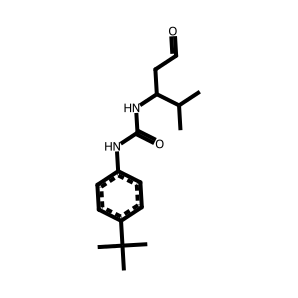 CC(C)C(CC=O)NC(=O)Nc1ccc(C(C)(C)C)cc1